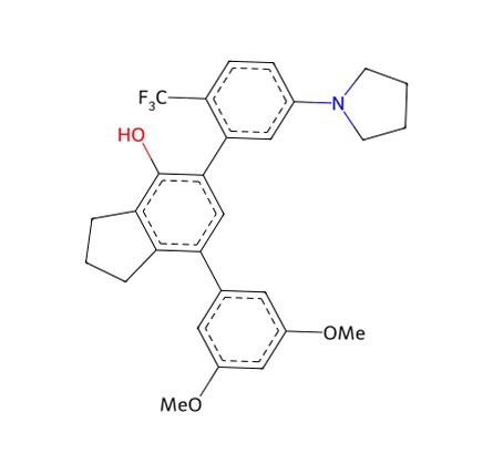 COc1cc(OC)cc(-c2cc(-c3cc(N4CCCC4)ccc3C(F)(F)F)c(O)c3c2CCC3)c1